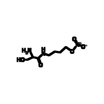 NC(CO)C(=O)NCCCCO[N+](=O)[O-]